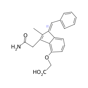 CC1=C(CC(N)=O)c2c(OCC(=O)O)cccc2/C1=C\c1ccccc1